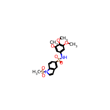 COc1cc(NS(=O)(=O)c2ccc3c(ccn3S(C)(=O)=O)c2)cc(OC)c1OC